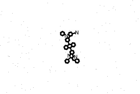 N#Cc1ccc2c(c1)c1cc(-c3c4ccccc4c(-c4ccc5c(c4)nc(-c4ccccc4)c4cc6ccccc6nc45)c4ccccc34)ccc1n2-c1ccccc1